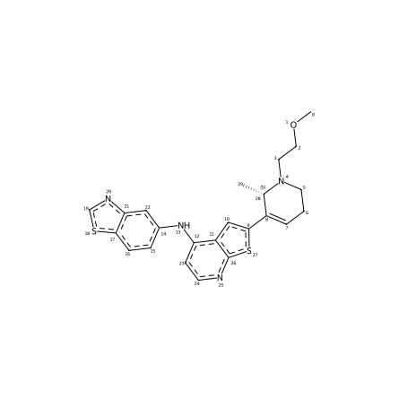 COCCN1CCC=C(c2cc3c(Nc4ccc5scnc5c4)ccnc3s2)[C@@H]1C